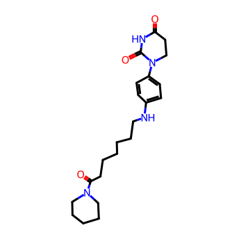 O=C1CCN(c2ccc(NCCCCCCC(=O)N3CCCCC3)cc2)C(=O)N1